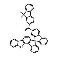 CC1(C)c2ccccc2-c2ccc(C(=O)c3ccc4c(c3)C3(c5ccccc5-4)c4ccccc4-c4c3ccc3c4oc4ccccc43)cc21